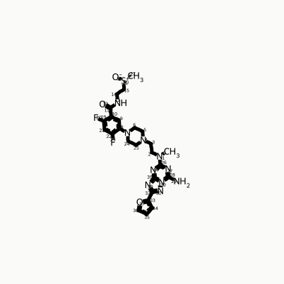 CN(CCN1CCN(c2cc(C(=O)NCC[S@+](C)[O-])c(F)cc2F)CC1)c1nc(N)n2nc(-c3ccco3)nc2n1